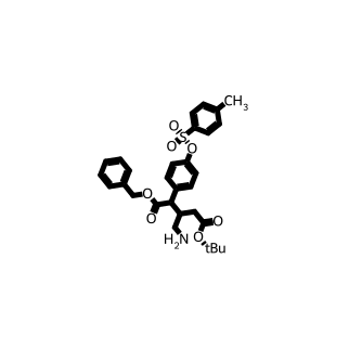 Cc1ccc(S(=O)(=O)Oc2ccc(C(C(=O)OCc3ccccc3)C(CN)CC(=O)OC(C)(C)C)cc2)cc1